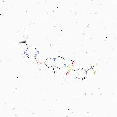 C=C(C)c1cnc(O[C@H]2C[C@H]3CN(S(=O)(=O)c4cccc(C(F)(F)F)c4)CCN3C2)cn1